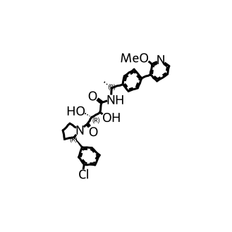 COc1ncccc1-c1ccc([C@@H](C)NC(=O)C(O)[C@@H](O)C(=O)N2CCC[C@@H]2c2cccc(Cl)c2)cc1